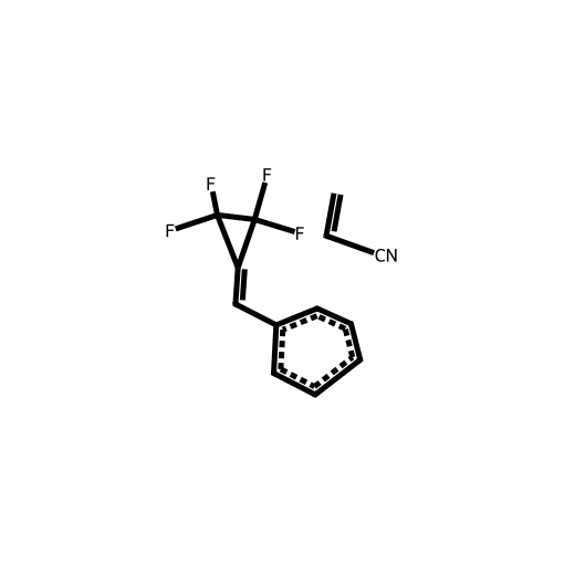 C=CC#N.FC1(F)C(=Cc2ccccc2)C1(F)F